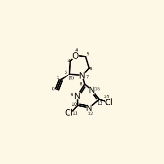 C#C[C@H]1COCCN1c1nc(Cl)nc(Cl)n1